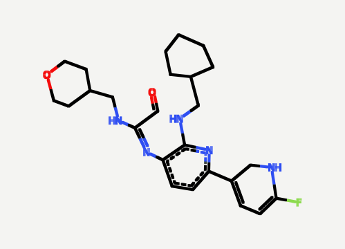 O=C/C(=N\c1ccc(C2=CC=C(F)NC2)nc1NCC1CCCCC1)NCC1CCOCC1